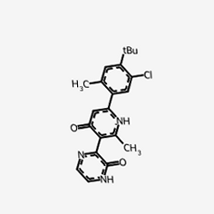 Cc1cc(C(C)(C)C)c(Cl)cc1-c1cc(=O)c(-c2ncc[nH]c2=O)c(C)[nH]1